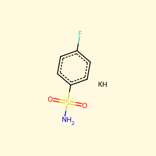 NS(=O)(=O)c1ccc(F)cc1.[KH]